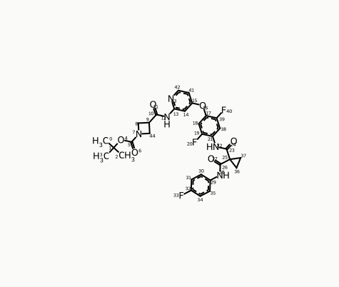 CC(C)(C)OC(=O)N1CC(C(=O)Nc2cc(Oc3cc(F)c(NC(=O)C4(C(=O)Nc5ccc(F)cc5)CC4)cc3F)ccn2)C1